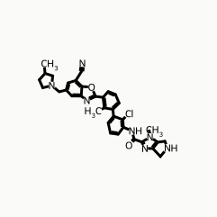 Cc1c(-c2nc3cc(CN4CCC(C)C4)cc(C#N)c3o2)cccc1-c1cccc(NC(=O)c2nc3c(n2C)CNC3)c1Cl